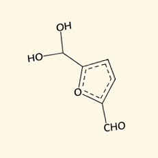 O=Cc1ccc(C(O)O)o1